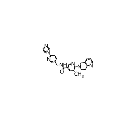 Cc1cc(C(=O)NCc2ccc(-n3ccnc3)nc2)cnc1N1CCc2ncccc2C1